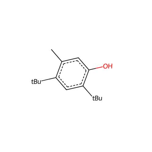 Cc1cc(O)c(C(C)(C)C)cc1C(C)(C)C